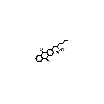 CCCCC(Cc1ccc2c(c1)C(=O)c1ccccc1C2=O)[N+](=O)[O-]